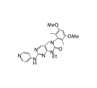 CCN1C(=O)N(c2c(C)c(OC)cc(OC)c2C)Cc2cnc(Nc3ccncc3)nc21